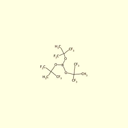 CC(OB(OC(C)(C(F)(F)F)C(F)(F)F)OC(C)(C(F)(F)F)C(F)(F)F)(C(F)(F)F)C(F)(F)F